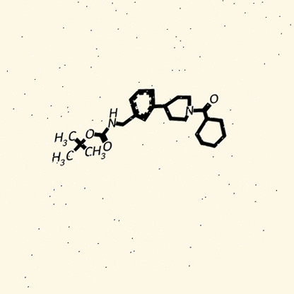 CC(C)(C)OC(=O)NCc1cccc(C2CCN(C(=O)C3CCCCC3)CC2)c1